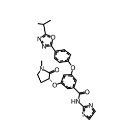 CC(C)c1nnc(-c2ccc(Oc3cc(O[C@@H]4CCN(C)C4=O)cc(C(=O)Nc4nccs4)c3)cc2)o1